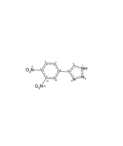 O=[N+]([O-])c1ccc(-c2c[nH]nn2)cc1[N+](=O)[O-]